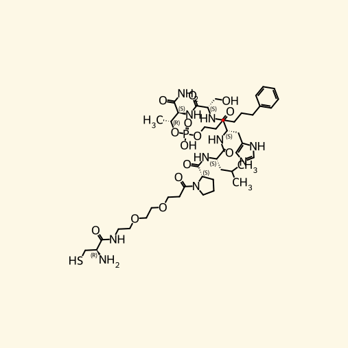 CC(C)C[C@H](NC(=O)[C@@H]1CCCN1C(=O)CCOCCOCCNC(=O)[C@@H](N)CS)C(=O)N[C@@H](Cc1cnc[nH]1)C(=O)N[C@@H](CO)C(=O)N[C@H](C(N)=O)[C@@H](C)OP(=O)(O)OCCCCCCc1ccccc1